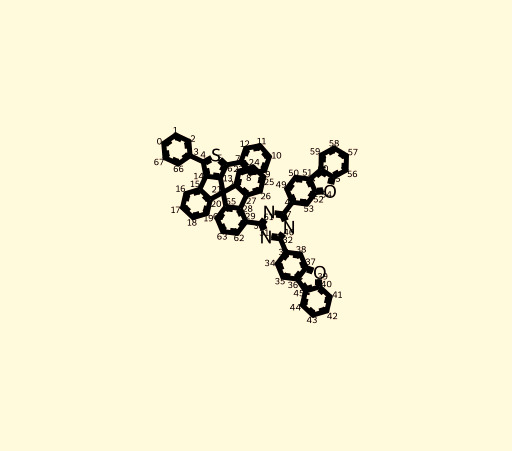 c1ccc(-c2sc(-c3ccccc3)c3c2-c2ccccc2C32c3ccccc3-c3c(-c4nc(-c5ccc6c(c5)oc5ccccc56)nc(-c5ccc6c(c5)oc5ccccc56)n4)cccc32)cc1